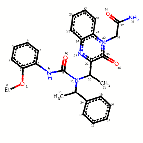 CCOc1ccccc1NC(=O)N(C(C)c1ccccc1)C(C)c1nc2ccccc2n(CC(N)=O)c1=O